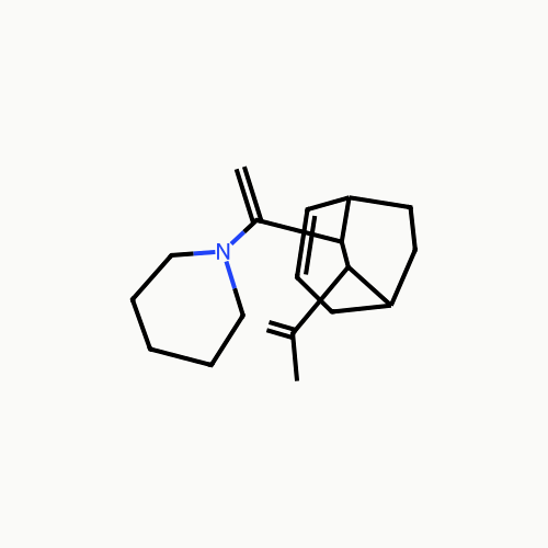 C=C(C)C1C2CC=CC(CC2)C1C(=C)N1CCCCC1